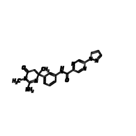 CN1C(=O)CC(C)(c2cccc(NC(=O)c3cnc(-n4cccn4)cn3)c2)N=C1N